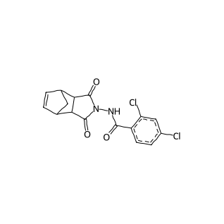 O=C(NN1C(=O)C2C3C=CC(C3)C2C1=O)c1ccc(Cl)cc1Cl